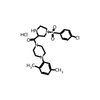 Cc1ccc(C)c(N2CCN(C(=O)C3CN(S(=O)(=O)c4ccc(Cl)cc4)CCN3)CC2)c1.Cl